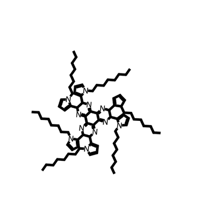 CCCCCCCCC1C=CC=C1C1N=c2c(c3c(c4c2=NC(c2cccn2CCCCCCCC)C(c2cccn2CCCCCCCC)N=4)=NC(c2cccn2CCCCCCCC)C(c2cccn2CCCCCCCC)N=3)=NC1c1cccn1CCCCCCCC